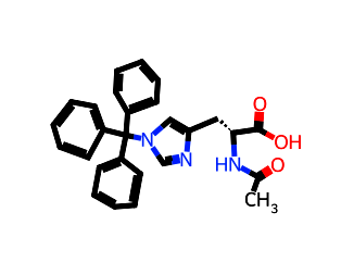 CC(=O)N[C@H](Cc1cn(C(c2ccccc2)(c2ccccc2)c2ccccc2)cn1)C(=O)O